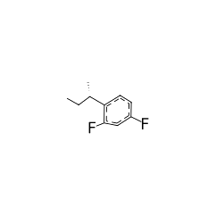 CC[C@H](C)c1ccc(F)cc1F